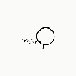 CCOC(=O)O/C1=C/C(C)CCCCCCCCCCCC1